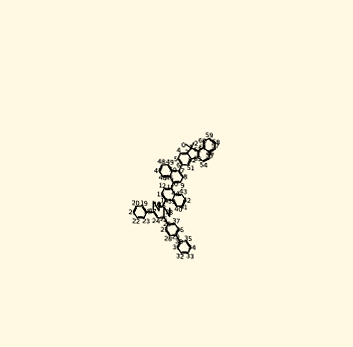 CC1(C)c2ccc(-c3ccc(-c4ccc(-c5nc(-c6ccccc6)cc(-c6ccc(-c7ccccc7)cc6)n5)c5ccccc45)c4ccccc34)cc2-c2ccc3ccccc3c21